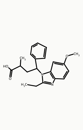 CCc1nc2ccc(OC)cc2n1C(CC(C)C(=O)O)c1ccccc1